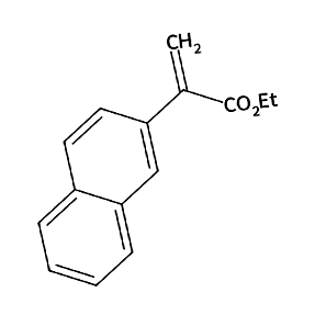 C=C(C(=O)OCC)c1ccc2ccccc2c1